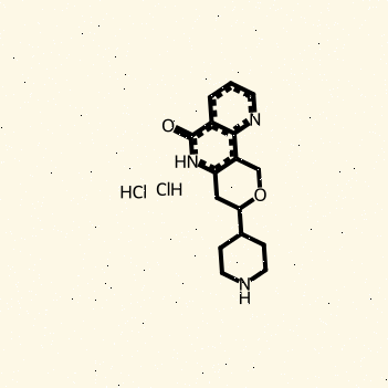 Cl.Cl.O=c1[nH]c2c(c3ncccc13)COC(C1CCNCC1)C2